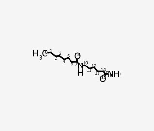 CCCCCCCC(=O)NCCCCCC([NH])=O